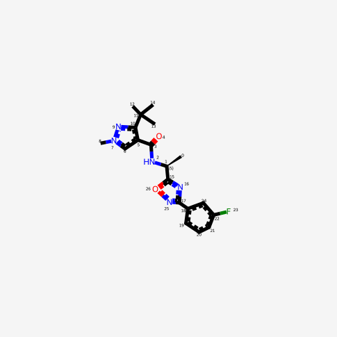 C[C@H](NC(=O)c1cn(C)nc1C(C)(C)C)c1nc(-c2cccc(F)c2)no1